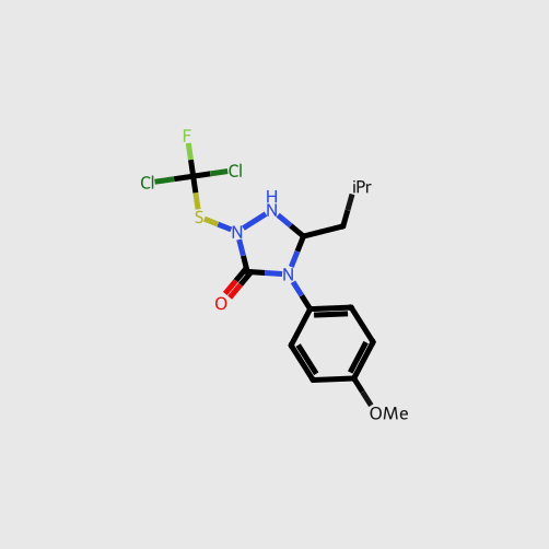 COc1ccc(N2C(=O)N(SC(F)(Cl)Cl)NC2CC(C)C)cc1